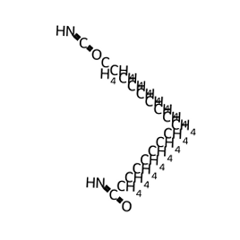 C.C.C.C.C.C.C.C.C.C.C.C.C.C.C.C.N=C=O.N=C=O